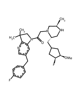 CO[C@@H]1CC(C[C@H]2CN[C@H](C)CN2CC(=O)N2CC(C)(C)c3ncc(Cc4ccc(F)cc4)cc32)C[C@@H]1F